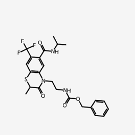 CC(C)NC(=O)c1cc2c(cc1C(F)(F)F)SC(C)C(=O)N2CCNC(=O)OCc1ccccc1